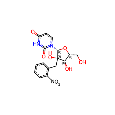 O=c1ccn([C@@H]2O[C@H](CO)[C@@H](O)[C@]2(O)Cc2ccccc2[N+](=O)[O-])c(=O)[nH]1